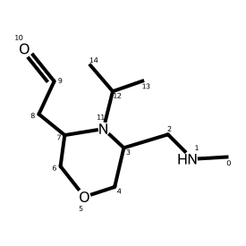 CNCC1COCC(CC=O)N1C(C)C